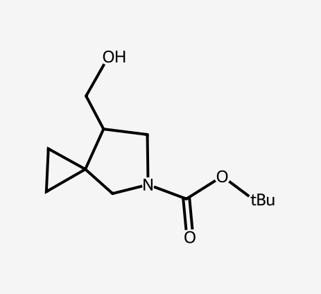 CC(C)(C)OC(=O)N1CC(CO)C2(CC2)C1